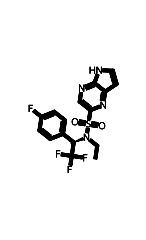 CCN([C@H](c1ccc(F)cc1)C(F)(F)F)S(=O)(=O)c1cnc2[nH]ccc2n1